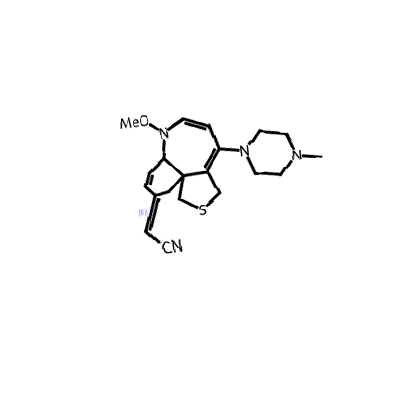 CON1C=CC(N2CCN(C)CC2)=C2CSCC23C/C(=C\C#N)C=CC13